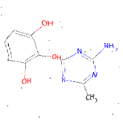 Cc1ncnc(N)n1.Oc1cccc(O)c1O